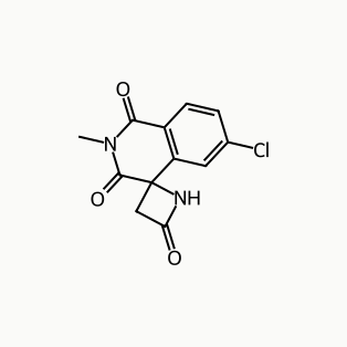 CN1C(=O)c2ccc(Cl)cc2C2(CC(=O)N2)C1=O